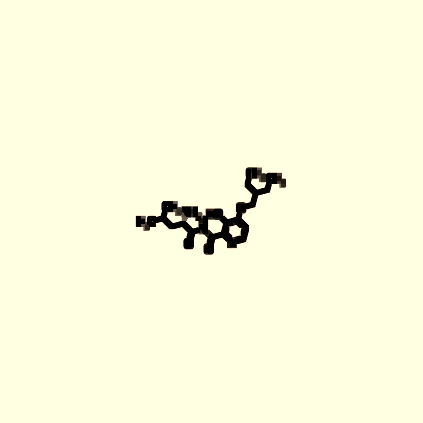 CCC(CC)COc1ccnc(C(=O)NC(=O)[C@@H](N)CC(C)C)c1O